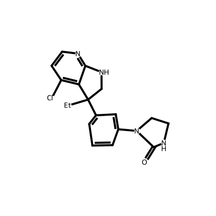 CCC1(c2cccc(N3CCNC3=O)c2)CNc2nccc(Cl)c21